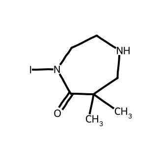 CC1(C)CNCCN(I)C1=O